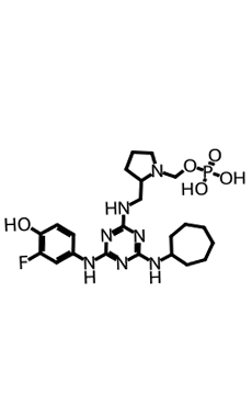 O=P(O)(O)OCN1CCCC1CNc1nc(Nc2ccc(O)c(F)c2)nc(NC2CCCCCC2)n1